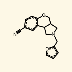 N#Cc1ccc2c(c1)C1CN(Cc3ccco3)CC1CO2